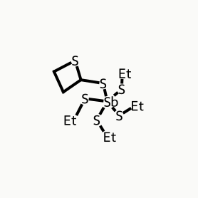 CC[S][Sb]([S]CC)([S]CC)([S]CC)[S]C1CCS1